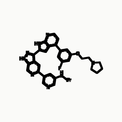 CC(C)Nc1cncc(-c2cc3c(-c4cc5c(-c6cc(F)cc(OCCN7CCCC7)c6)ccnc5[nH]4)n[nH]c3cn2)c1